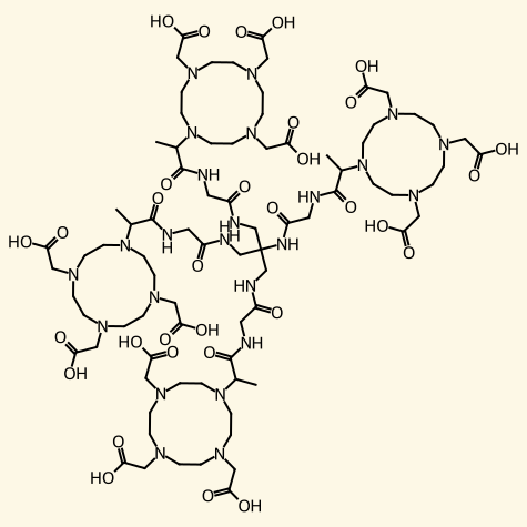 CC(C(=O)NCC(=O)NCC(CNC(=O)CNC(=O)C(C)N1CCN(CC(=O)O)CCN(CC(=O)O)CCN(CC(=O)O)CC1)(CNC(=O)CNC(=O)C(C)N1CCN(CC(=O)O)CCN(CC(=O)O)CCN(CC(=O)O)CC1)NC(=O)CNC(=O)C(C)N1CCN(CC(=O)O)CCN(CC(=O)O)CCN(CC(=O)O)CC1)N1CCN(CC(=O)O)CCN(CC(=O)O)CCN(CC(=O)O)CC1